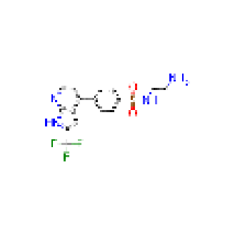 NCCNS(=O)(=O)c1ccc(-c2ccnc3[nH]c(C(F)(F)F)cc23)cc1